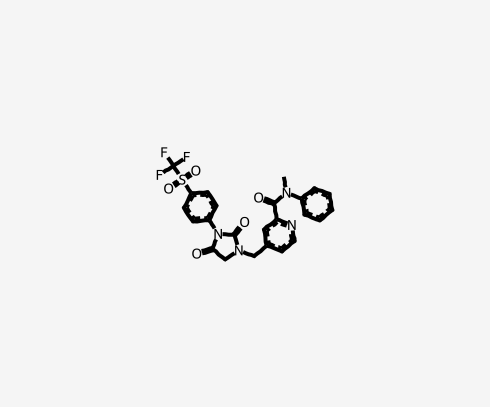 CN(C(=O)c1cc(CN2CC(=O)N(c3ccc(S(=O)(=O)C(F)(F)F)cc3)C2=O)ccn1)c1ccccc1